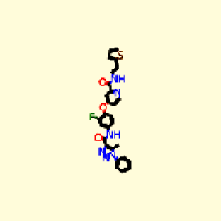 Cc1c(C(=O)Nc2ccc(Oc3ccnc(C(=O)NCCc4cccs4)c3)c(F)c2)nnn1-c1ccccc1